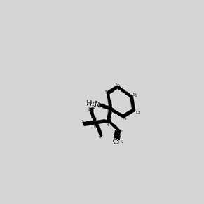 CC(C)(C)C([C]=O)C1(N)CCCCC1